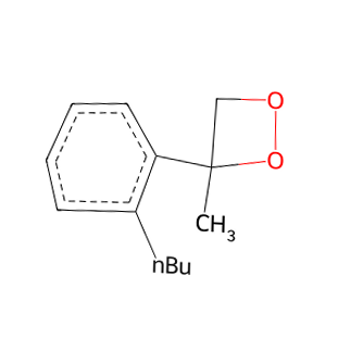 CCCCc1ccccc1C1(C)COO1